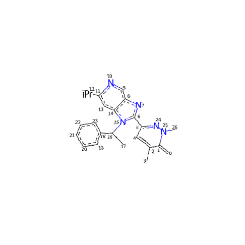 C=C1C(C)=CC(c2nc3cnc(C(C)C)cc3n2C(C)c2ccccc2)=NN1C